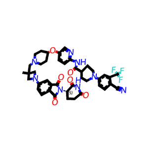 CC1(CN2CCC(Oc3ccc(NC(=O)C4CCN(c5ccc(C#N)c(C(F)(F)F)c5)CC4)nc3)CC2)CN(c2ccc3c(c2)C(=O)N([C@H]2CCC(=O)NC2=O)C3=O)C1